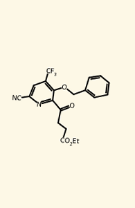 CCOC(=O)CCC(=O)c1nc(C#N)cc(C(F)(F)F)c1OCc1ccccc1